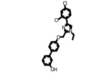 CCn1cc(-c2ccc(Cl)cc2Cl)nc1COc1ccc(-c2cccc(O)c2)cc1